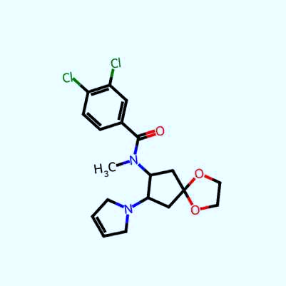 CN(C(=O)c1ccc(Cl)c(Cl)c1)C1CC2(CC1N1CC=CC1)OCCO2